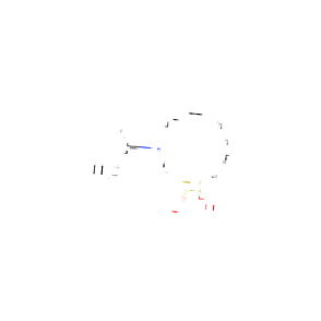 CC(C)N1CCCCCS(=O)(=O)C1